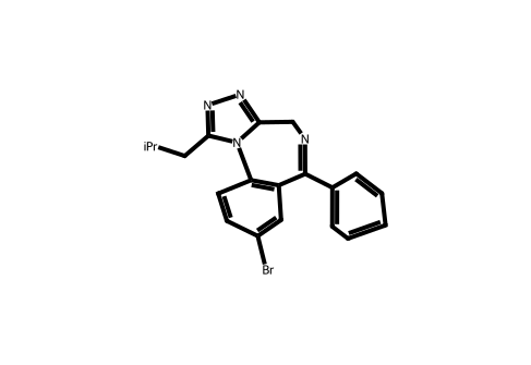 CC(C)Cc1nnc2n1-c1ccc(Br)cc1C(c1ccccc1)=NC2